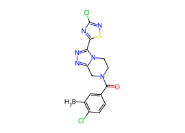 Bc1cc(C(=O)N2CCn3c(nnc3-c3nc(Cl)ns3)C2)ccc1Cl